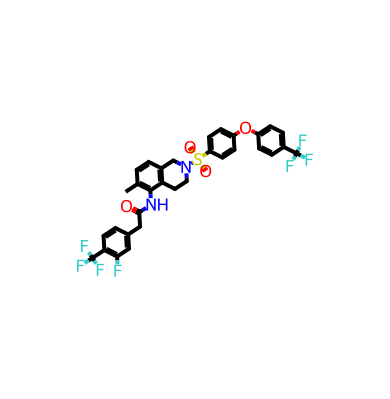 Cc1ccc2c(c1NC(=O)Cc1ccc(C(F)(F)F)c(F)c1)CCN(S(=O)(=O)c1ccc(Oc3ccc(C(F)(F)F)cc3)cc1)C2